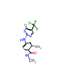 CNC(=O)C1=CC=C(Nc2ncc(C(F)(F)F)c(Cl)n2)CC1C